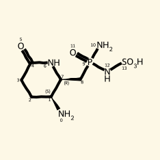 N[C@H]1CCC(=O)N[C@H]1CP(N)(=O)NS(=O)(=O)O